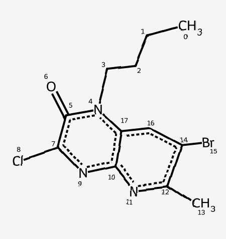 CCCCn1c(=O)c(Cl)nc2nc(C)c(Br)cc21